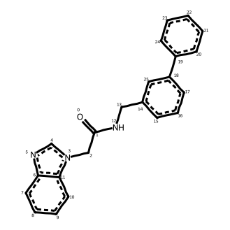 O=C(Cn1cnc2ccccc21)NCc1cccc(-c2ccccc2)c1